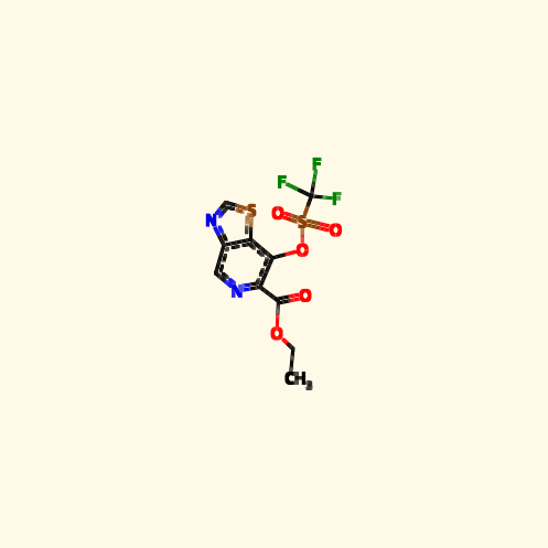 CCOC(=O)c1ncc2ncsc2c1OS(=O)(=O)C(F)(F)F